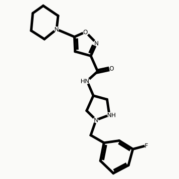 O=C(NC1CNN(Cc2cccc(F)c2)C1)c1cc(N2CCCCC2)on1